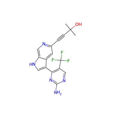 CC(C)(O)C#Cc1cc2c(-c3nc(N)ncc3C(F)(F)F)c[nH]c2cn1